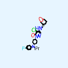 CC(C)N(c1ccc(F)cc1)[C@H]1CC[C@@H](n2ncc(NC[C@@H]3CCCOC3)c(Cl)c2=O)CC1